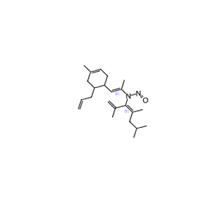 C=CCC1CC(C)=CCC1/C=C(\C)N(N=O)/C(C(=C)C)=C(\C)CC(C)C